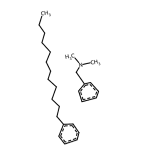 CCCCCCCCCCCCc1ccccc1.CN(C)Cc1ccccc1